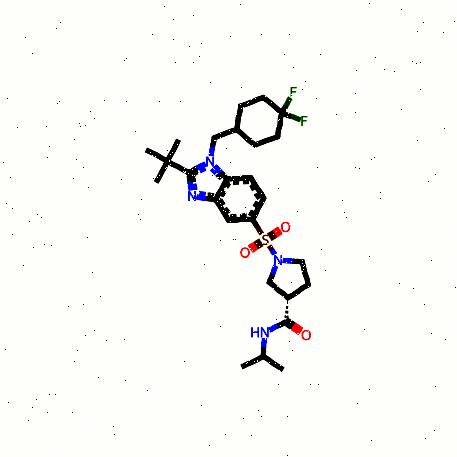 CC(C)NC(=O)[C@H]1CCN(S(=O)(=O)c2ccc3c(c2)nc(C(C)(C)C)n3CC2CCC(F)(F)CC2)C1